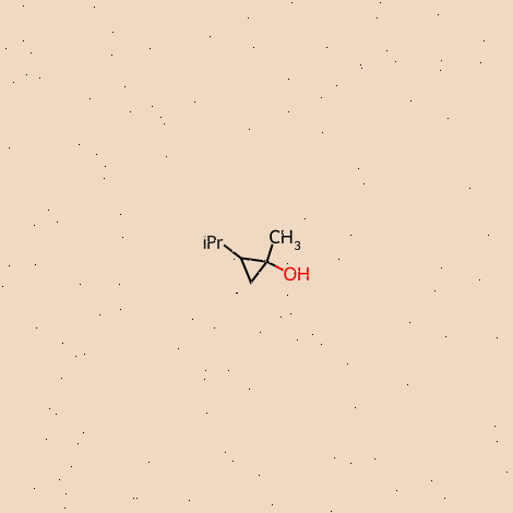 CC(C)C1CC1(C)O